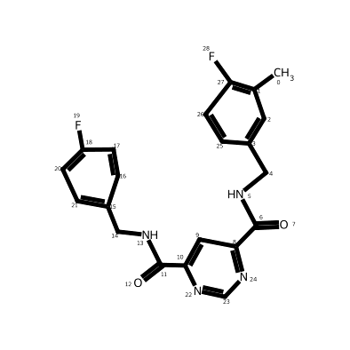 Cc1cc(CNC(=O)c2cc(C(=O)NCc3ccc(F)cc3)ncn2)ccc1F